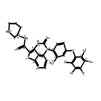 [2H]c1c([2H])c([2H])c(Oc2ccc(N3C(=O)Nc4c(C(=O)N[C@@H]5CCCNC5)sc5nccc3c45)c(C)c2)c([2H])c1[2H]